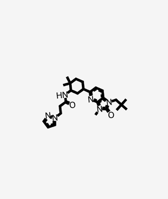 Cn1c(=O)n(CC(C)(C)C)c2ccc(C3CCC(C)(C)C(NC(=O)CCn4cccn4)C3)nc21